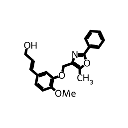 COc1ccc(C=CCO)cc1OCc1nc(-c2ccccc2)oc1C